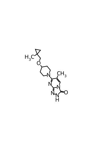 Cc1cn2c(=O)[nH]nc2nc1N1CCC(OCC2(C)CC2)CC1